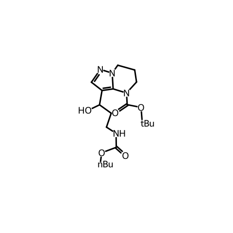 CCCCOC(=O)NCCC(O)c1cnn2c1N(C(=O)OC(C)(C)C)CCC2